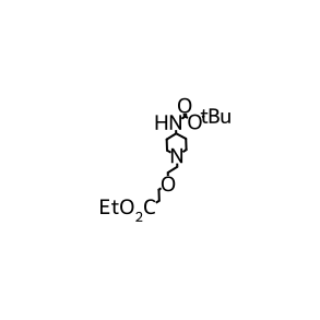 CCOC(=O)CCOCCN1CCC(NC(=O)OC(C)(C)C)CC1